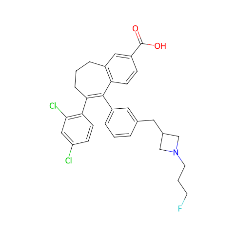 O=C(O)c1ccc2c(c1)CCCC(c1ccc(Cl)cc1Cl)=C2c1cccc(CC2CN(CCCF)C2)c1